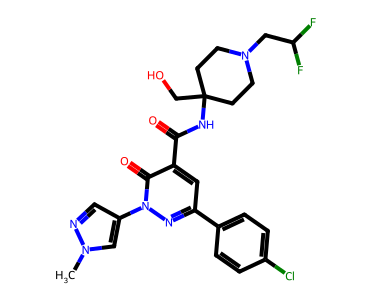 Cn1cc(-n2nc(-c3ccc(Cl)cc3)cc(C(=O)NC3(CO)CCN(CC(F)F)CC3)c2=O)cn1